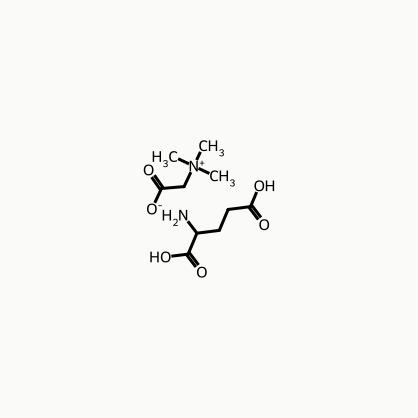 C[N+](C)(C)CC(=O)[O-].NC(CCC(=O)O)C(=O)O